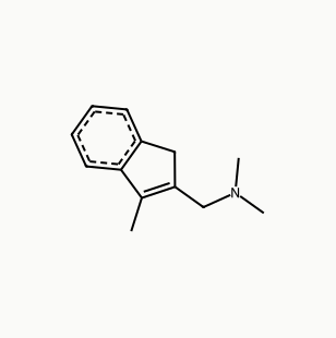 CC1=C(CN(C)C)Cc2ccccc21